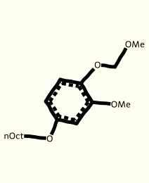 CCCCCCCCOc1ccc(OCOC)c(OC)c1